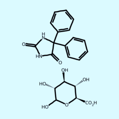 O=C(O)[C@H]1OC(O)[C@H](O)[C@@H](O)[C@@H]1O.O=C1NC(=O)C(c2ccccc2)(c2ccccc2)N1